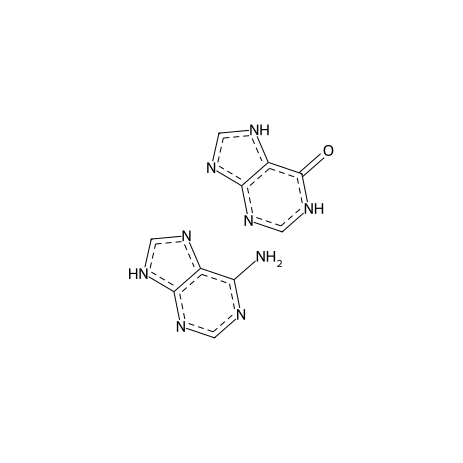 Nc1ncnc2[nH]cnc12.O=c1[nH]cnc2nc[nH]c12